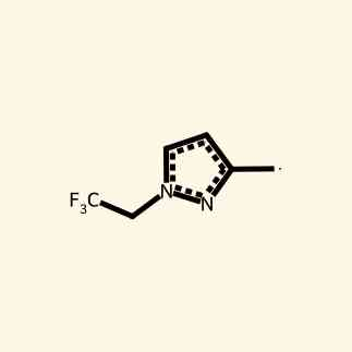 [CH2]c1ccn(CC(F)(F)F)n1